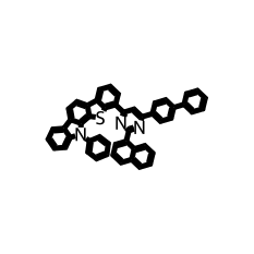 c1ccc(-c2ccc(-c3cc(-c4cccc5c4sc4c5ccc5c6ccccc6n(-c6ccccc6)c54)nc(-c4cccc5ccccc45)n3)cc2)cc1